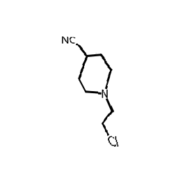 N#CC1CCN(CCCl)CC1